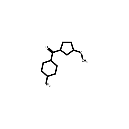 COC1CCC(C(=O)C2CCC(N)CC2)C1